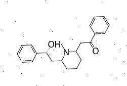 CN1C(CC(=O)c2ccccc2)CCCC1C[C@@H](O)c1ccccc1